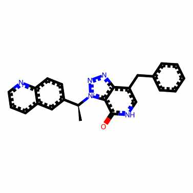 C[C@@H](c1ccc2ncccc2c1)n1nnc2c(Cc3ccccc3)c[nH]c(=O)c21